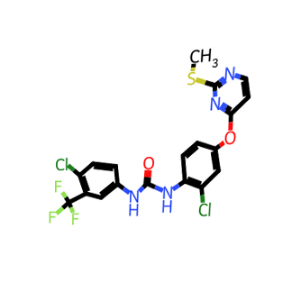 CSc1nccc(Oc2ccc(NC(=O)Nc3ccc(Cl)c(C(F)(F)F)c3)c(Cl)c2)n1